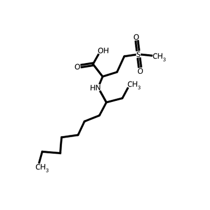 CCCCCCCC(CC)NC(CCS(C)(=O)=O)C(=O)O